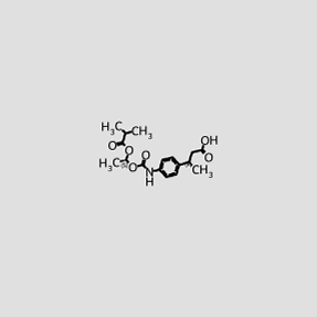 CC(C)C(=O)O[C@H](C)OC(=O)Nc1ccc([C@H](C)CC(=O)O)cc1